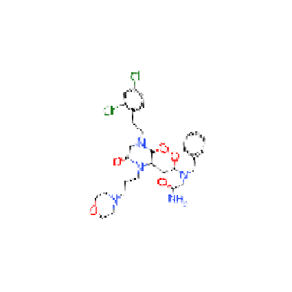 NC(=O)CN(Cc1ccccc1)C(=O)CC1C(=O)N(CCc2ccc(Cl)cc2Cl)CC(=O)N1CCCN1CCOCC1